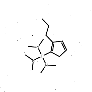 CCCC1=[C]([Ti]([N](C)C)([N](C)C)[N](C)C)CC=C1